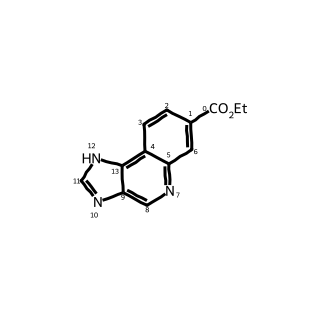 CCOC(=O)c1ccc2c(c1)ncc1nc[nH]c12